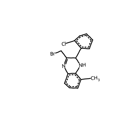 Cc1cccc2c1NC(c1ccccc1Cl)C(CBr)=N2